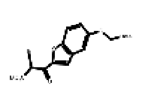 CCOC(=O)C(Br)C(=O)c1cc2cc(OCOC)ccc2o1